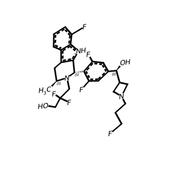 C[C@H]1Cc2c([nH]c3c(F)cccc23)[C@H](c2c(F)cc([C@@H](O)C3CN(CCCF)C3)cc2F)N1CC(F)(F)CO